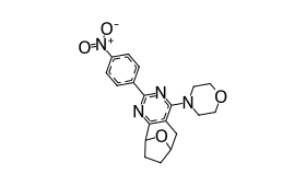 O=[N+]([O-])c1ccc(-c2nc3c(c(N4CCOCC4)n2)CC2CCC3O2)cc1